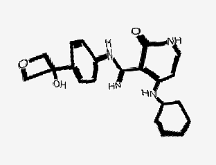 N=C(Nc1ccc(C2(O)COC2)cc1)c1c(NC2CCCCC2)cc[nH]c1=O